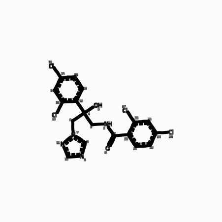 O=C(NCC(O)(Cn1cncn1)c1ccc(Cl)cc1Cl)c1ccc(Cl)cc1Cl